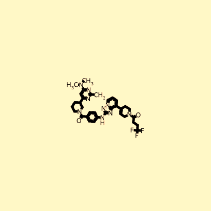 Cc1nc(C2CCCN(C(=O)c3ccc(Nc4nc5c(C6=CCN(C(=O)CCC(F)(F)F)CC6)cccn5n4)cc3)C2)cc(N(C)C)n1